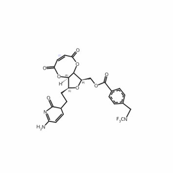 NC1=NC(=O)C(CC[C@@H]2O[C@H](COC(=O)c3ccc(CNC(F)(F)F)cc3)C3OC(=O)/C=C\C(=O)O[C@@H]32)C=C1